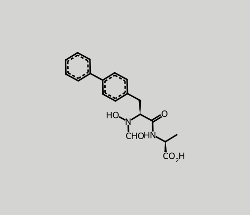 C[C@H](NC(=O)[C@H](Cc1ccc(-c2ccccc2)cc1)N(O)C=O)C(=O)O